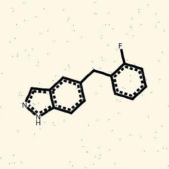 Fc1ccccc1[CH]c1ccc2[nH]ncc2c1